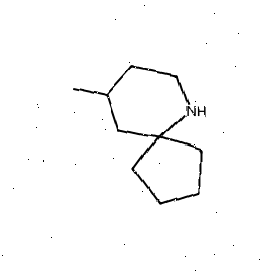 CC1CCNC2(CCCC2)C1